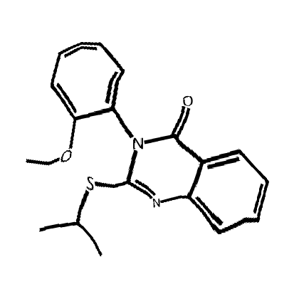 COc1ccccc1-n1c(SC(C)C)nc2ccccc2c1=O